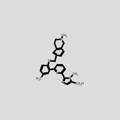 Cc1ccc(OCc2ccc3c(c2)CCN(C)C3)c(-c2cccc(-c3ncc(C(=O)O)n3C)n2)c1